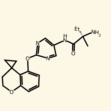 CC[C@@](C)(N)C(=O)Nc1cnc(Oc2cccc3c2C2(CCO3)CC2)nc1